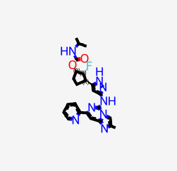 Cc1cn2c(Nc3cc([C@H]4CC[C@@H](OC(=O)NC(C)C)[C@@H]4F)[nH]n3)nc(-c3ccccn3)cc2n1